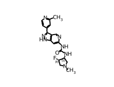 Cc1cc(-c2n[nH]c3cc(NC(=O)N[C@H]4CN(C)C[C@H]4F)ncc23)ccn1